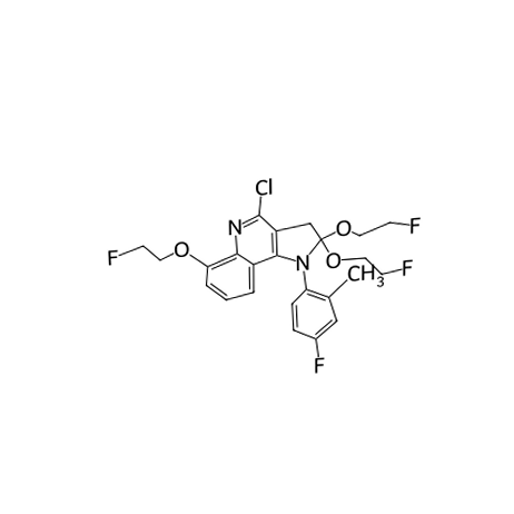 Cc1cc(F)ccc1N1c2c(c(Cl)nc3c(OCCF)cccc23)CC1(OCCF)OCCF